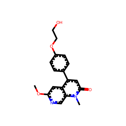 COc1cc2c(-c3ccc(OCCO)cc3)cc(=O)n(C)c2cn1